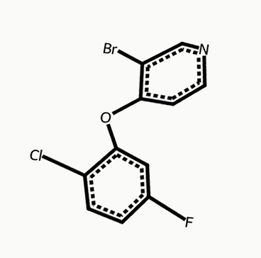 Fc1ccc(Cl)c(Oc2ccncc2Br)c1